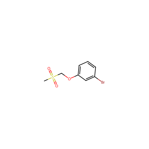 CS(=O)(=O)COc1cccc(Br)c1